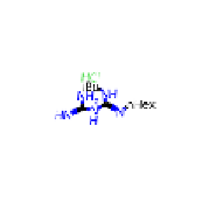 CCCCCCN=C(NC(=N)N)NC(C)CC.Cl